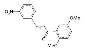 COc1ccc(OC)c(C(=O)/C=C/c2cccc([N+](=O)[O-])c2)c1